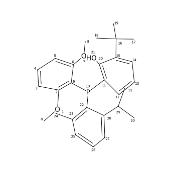 COc1cccc(OC)c1P(c1cccc(C(C)(C)C)c1O)c1c(C)cccc1C(C)C